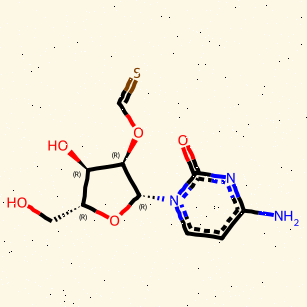 Nc1ccn([C@@H]2O[C@H](CO)[C@@H](O)[C@H]2OC=S)c(=O)n1